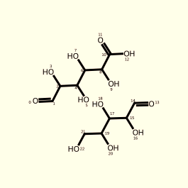 O=CC(O)C(O)C(O)C(O)C(=O)O.O=CC(O)C(O)C(O)CO